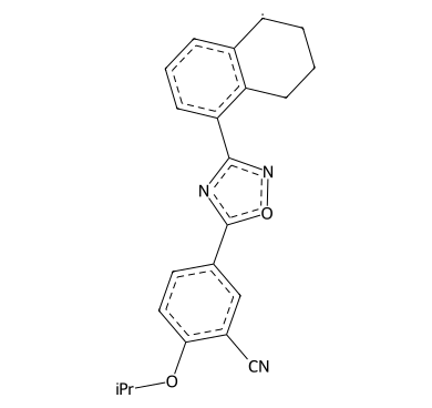 CC(C)Oc1ccc(-c2nc(-c3cccc4c3CCC[CH]4)no2)cc1C#N